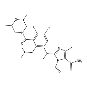 C=C(N)c1c(C)nc(C(C)c2cc(Cl)c(F)c(C(=O)N3CC(C)OC(C)C3)c2CC(C)C)n1/C=C\C